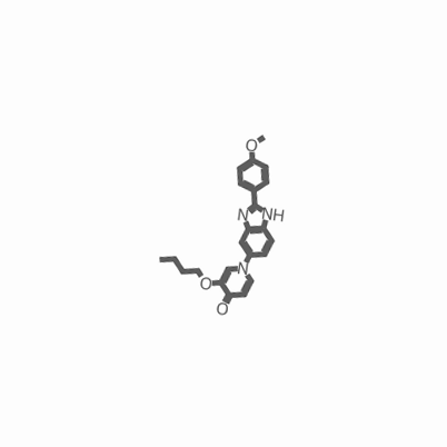 CCCCOc1cn(-c2ccc3[nH]c(-c4ccc(OC)cc4)nc3c2)ccc1=O